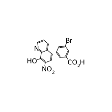 O=C(O)c1cccc(Br)c1.O=[N+]([O-])c1ccc2cccnc2c1O